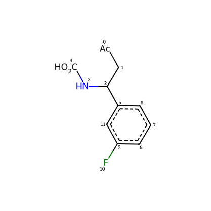 CC(=O)CC(NC(=O)O)c1cccc(F)c1